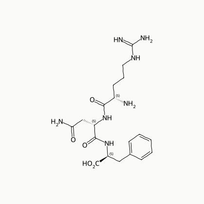 N=C(N)NCCC[C@H](N)C(=O)N[C@@H](CC(N)=O)C(=O)N[C@@H](Cc1ccccc1)C(=O)O